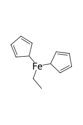 C[CH2][Fe]([CH]1C=CC=C1)[CH]1C=CC=C1